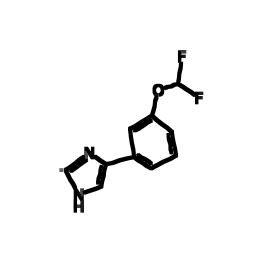 FC(F)Oc1cccc(-c2c[nH][c]n2)c1